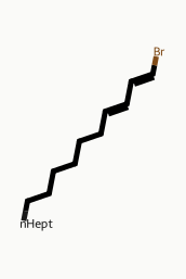 CCCCCCCCCCCCC/C=C/C=C/Br